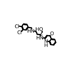 O=c1cc(N[C@H](CO)CCNCc2ccc(Cl)c(Cl)c2)[nH]c2ccccc12